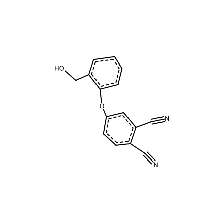 N#Cc1ccc(Oc2ccccc2CO)cc1C#N